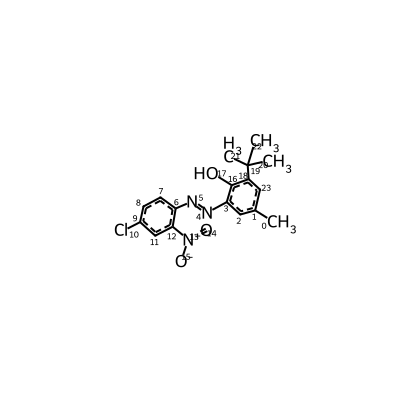 Cc1cc(N=Nc2ccc(Cl)cc2[N+](=O)[O-])c(O)c(C(C)(C)C)c1